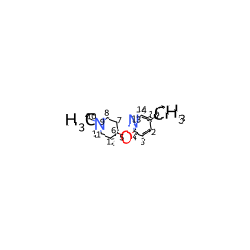 Cc1ccc(OC2CCN(C)CC2)nc1